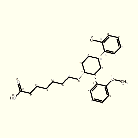 COc1ccccc1[C@H]1C[C@@H](c2ccccc2Cl)CC[C@H]1CCCCCCCC(=O)O